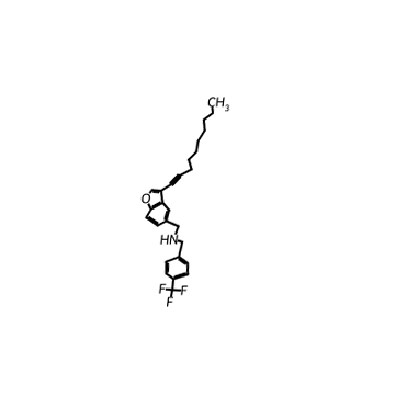 CCCCCCCCC#Cc1coc2ccc(CNCc3ccc(C(F)(F)F)cc3)cc12